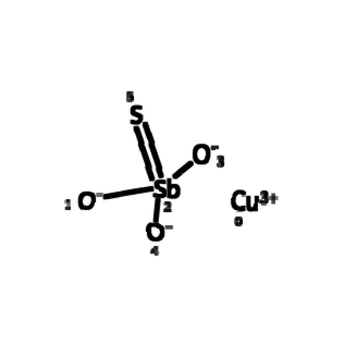 [Cu+3].[O-][Sb]([O-])([O-])=[S]